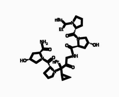 CCCCC(CC)N1CCC[C@@H]1C(=O)N1C[C@H](O)C[C@H]1C(=O)NCC(=O)C(CCC)(C1CC1)N1CCC[C@@H]1C(=O)N1C[C@H](O)C[C@H]1C(N)=O